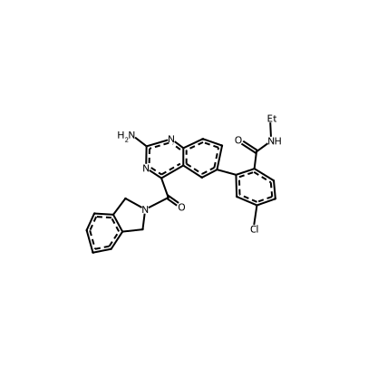 CCNC(=O)c1ccc(Cl)cc1-c1ccc2nc(N)nc(C(=O)N3Cc4ccccc4C3)c2c1